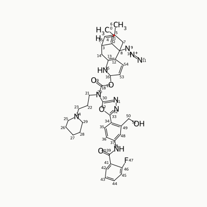 C/C=C1\[C@@H]2C=C(C)CC1(N=[N+]=[N-])C1=C(C2)NC(OC(=O)N(CCCN2CCCCC2)c2nnc(-c3ccc(NC(=O)c4ccccc4F)cc3CO)o2)C=C1